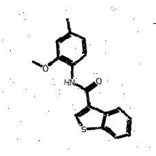 COc1cc(C)ccc1NC(=O)c1csc2ccccc12